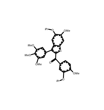 COc1ccc(C(=O)c2sc3cc(OC)c(OC(C)C)cc3c2-c2cc(OC)c(OC)c(OC)c2)cc1OC(C)C